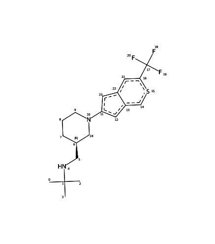 CC(C)(C)NC[C@H]1CCCN(c2cc3csc(C(F)(F)F)cc-3c2)C1